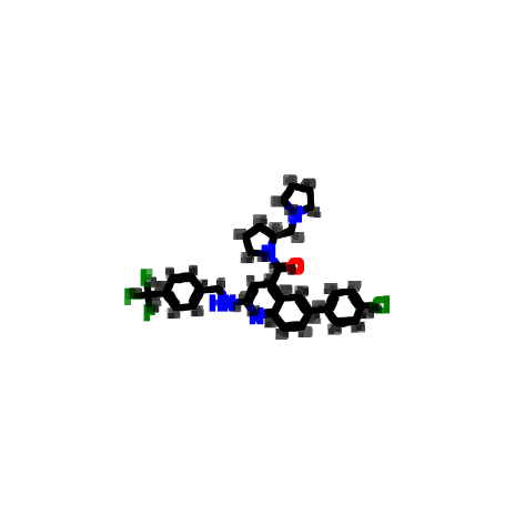 O=C(c1cc(NCc2ccc(C(F)(F)F)cc2)nc2ccc(-c3ccc(Cl)cc3)cc12)N1CCC[C@H]1CN1CCCC1